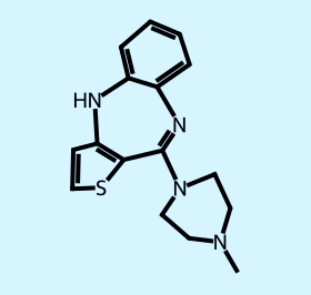 CN1CCN(C2=Nc3ccccc3Nc3ccsc32)CC1